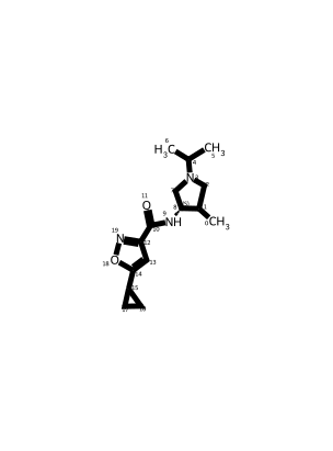 CC1CN(C(C)C)C[C@H]1NC(=O)c1cc(C2CC2)on1